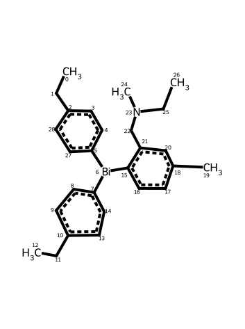 CCc1cc[c]([Bi]([c]2ccc(CC)cc2)[c]2ccc(C)cc2CN(C)CC)cc1